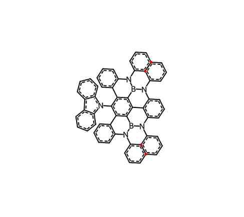 c1ccc(N2B3c4c5c6c(c(-n7c8ccccc8c8ccccc87)c4-c4ccccc42)-c2ccccc2N(c2ccccc2)B6N(c2ccccc2)c2cccc(c2-5)N3c2ccccc2)cc1